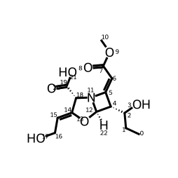 CCC(O)[C@H]1/C(=C/C(=O)OC)N2[C@@H]1O/C(=C\CO)[C@@H]2C(=O)O